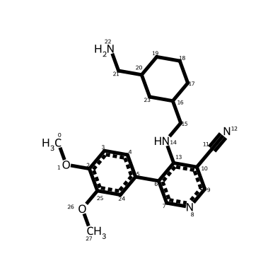 COc1ccc(-c2cncc(C#N)c2NCC2CCCC(CN)C2)cc1OC